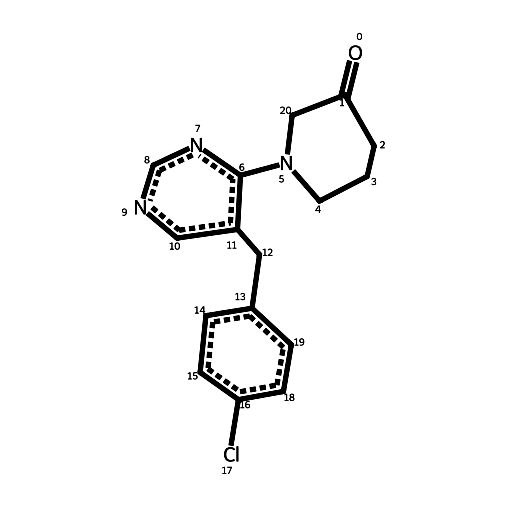 O=C1CCCN(c2ncncc2Cc2ccc(Cl)cc2)C1